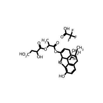 CC(OC(=O)C(O)CC(=O)O)C(=O)OC1=CC[C@@]2(O)[C@H]3Cc4ccc(O)c5c4[C@@]2(CCN3C)[C@H]1O5.O=C(O)C(F)(F)F